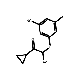 CC(=O)C(Oc1cc(C)cc(C#N)c1)C(=O)C1CC1